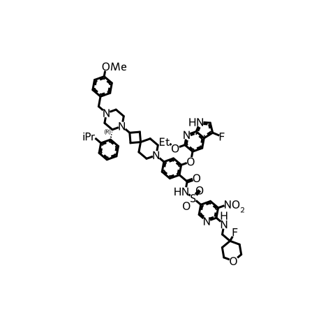 CCOc1nc2[nH]cc(F)c2cc1Oc1cc(N2CCC3(CC2)CC(N2CCN(Cc4ccc(OC)cc4)C[C@H]2c2ccccc2C(C)C)C3)ccc1C(=O)NS(=O)(=O)c1cnc(NCC2(F)CCOCC2)c([N+](=O)[O-])c1